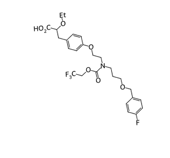 CCOC(Cc1ccc(OCCN(CCCOCc2ccc(F)cc2)C(=O)OCC(F)(F)F)cc1)C(=O)O